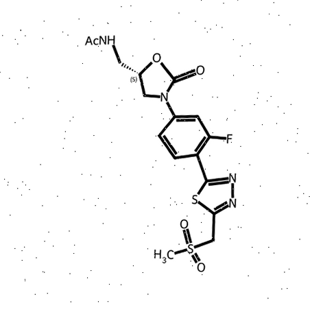 CC(=O)NC[C@H]1CN(c2ccc(-c3nnc(CS(C)(=O)=O)s3)c(F)c2)C(=O)O1